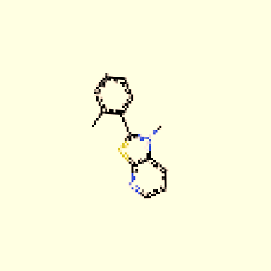 Cc1ccccc1-c1sc2ncccc2[n+]1C